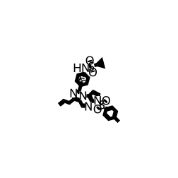 C=CCc1nc(C23CCC(NS(=O)(=O)C4CC4)(CC2)CC3)n2c1cnc1c2ccn1S(=O)(=O)c1ccc(C)cc1